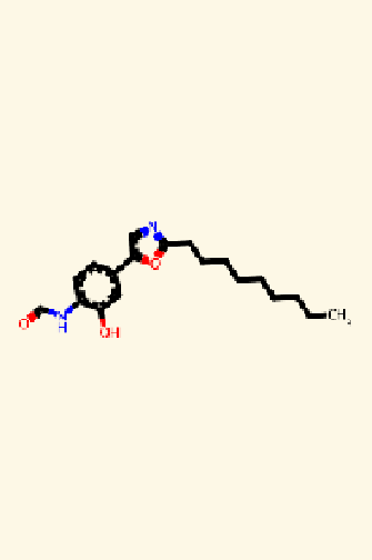 CCCCCCCCCc1ncc(-c2ccc(NC=O)c(O)c2)o1